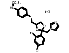 CCOC(=O)Nc1ccc(SCC2COC(Cn3ccnc3)(c3ccc(Cl)cc3Cl)O2)cc1.Cl